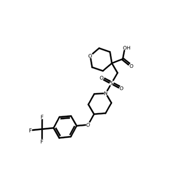 O=C(O)C1(CS(=O)(=O)N2CCC(Oc3ccc(C(F)(F)F)cc3)CC2)CCOCC1